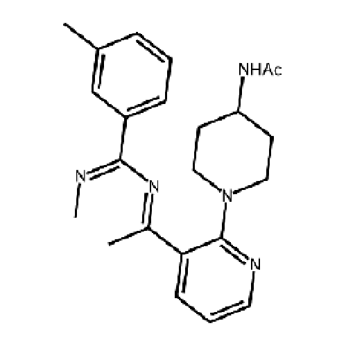 C/N=C(\N=C(/C)c1cccnc1N1CCC(NC(C)=O)CC1)c1cccc(C)c1